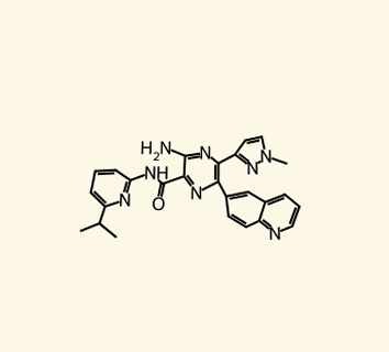 CC(C)c1cccc(NC(=O)c2nc(-c3ccc4ncccc4c3)c(-c3ccn(C)n3)nc2N)n1